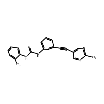 Nc1ncc(C#Cc2cccc(NC(=O)Nc3ccccc3C(F)(F)F)c2)cn1